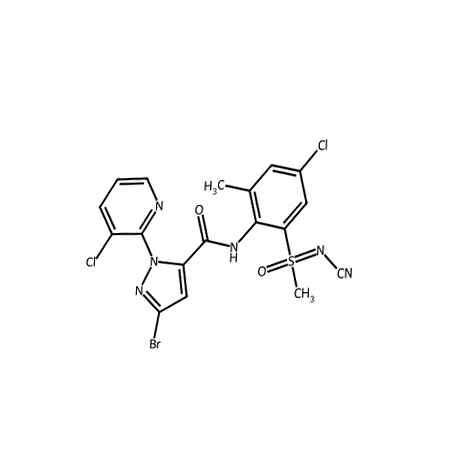 Cc1cc(Cl)cc(S(C)(=O)=NC#N)c1NC(=O)c1cc(Br)nn1-c1ncccc1Cl